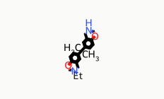 CCN1COc2ccc(C(C)(C)c3ccc4c(c3)CNCO4)cc2C1